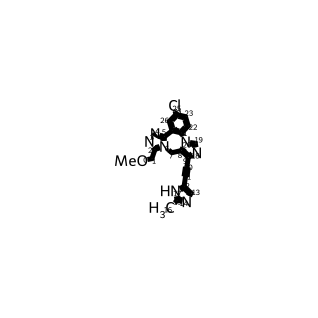 COCc1nnc2n1Cc1c(C#Cc3cnc(C)[nH]3)ncn1-c1ccc(Cl)cc1-2